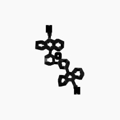 N#Cc1c2ccccc2c(C2=CC=CC3c4cc(-c5c6ccccc6c(C#N)c6ccccc56)ccc4OC23)c2ccccc12